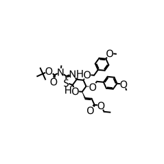 CCOC(=O)/C=C/[C@H]1O[C@@H]2SC(N(C)C(=O)OC(C)(C)C)=N[C@@H]2[C@@H](OCc2ccc(OC)cc2)[C@@H]1OCc1ccc(OC)cc1